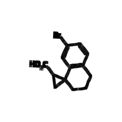 O=C(O)C1CC12CCCc1ccc(Br)cc12